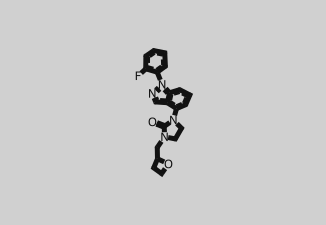 O=C1N(CC2CCO2)CCN1c1cccc2c1cnn2-c1ccccc1F